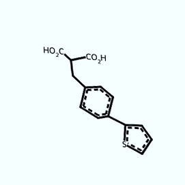 O=C(O)C(Cc1ccc(-c2cccs2)cc1)C(=O)O